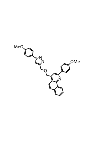 COc1ccc(-c2cc(COCc3cn(-c4ccc(OC)cc4)nn3)c3ccc4ccccc4c3n2)cc1